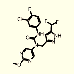 COc1ncc(N(Cc2cc(C(F)F)[nH]n2)C(=O)Nc2ccc(F)c(Cl)c2)cn1